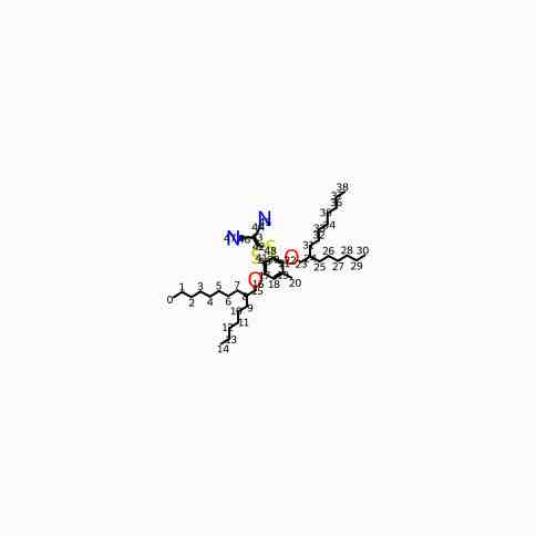 CCCCCCCCC(CCCCCC)COc1cc(C)c(OCC(CCCCCC)CCCCCCCC)c2c1SC(=C(C#N)C#N)S2